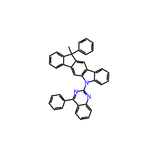 CC1(c2ccccc2)c2ccccc2-c2cc3c(cc21)c1ccccc1n3-c1nc(-c2ccccc2)c2ccccc2n1